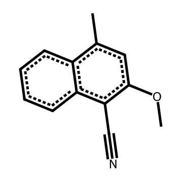 COc1cc(C)c2ccccc2c1C#N